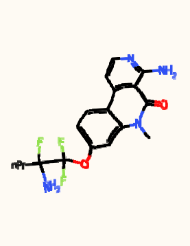 CCCC(N)(F)C(F)(F)Oc1ccc2c3ccnc(N)c3c(=O)n(C)c2c1